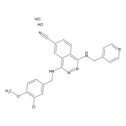 COc1ccc(CNc2nnc(NCc3ccncc3)c3ccc(C#N)cc23)cc1Cl.Cl.Cl